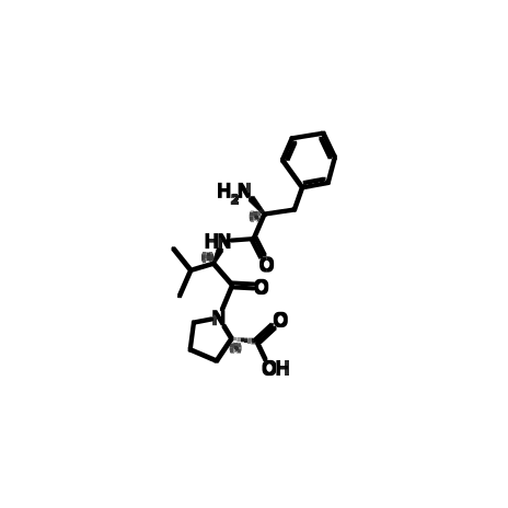 CC(C)[C@@H](NC(=O)[C@@H](N)Cc1ccccc1)C(=O)N1CCC[C@H]1C(=O)O